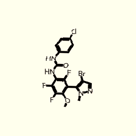 COc1c(F)c(F)c(NC(=O)Nc2ccc(Cl)cc2)c(F)c1-c1c(Br)cnn1C